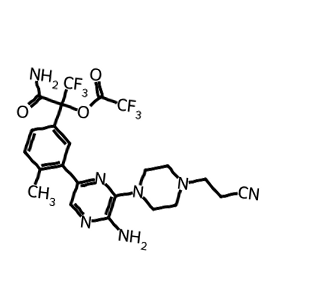 Cc1ccc(C(OC(=O)C(F)(F)F)(C(N)=O)C(F)(F)F)cc1-c1cnc(N)c(N2CCN(CCC#N)CC2)n1